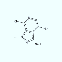 Cn1ncc2c(Br)cnc(Cl)c21.[NaH]